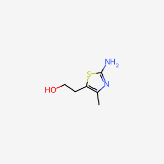 Cc1nc(N)sc1CCO